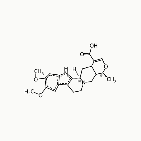 COc1cc2[nH]c3c(c2cc1OC)CCN1CC2C(C[C@H]31)C(C(=O)O)=CO[C@H]2C